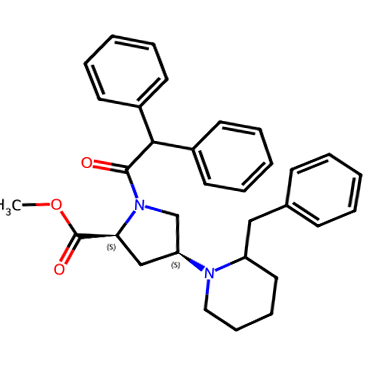 COC(=O)[C@@H]1C[C@H](N2CCCCC2Cc2ccccc2)CN1C(=O)C(c1ccccc1)c1ccccc1